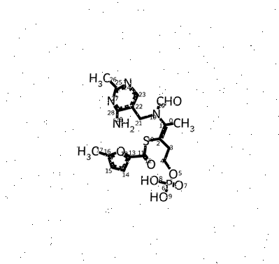 CC(=C(CCOP(=O)(O)O)SC(=O)c1ccc(C)o1)N(C=O)Cc1cnc(C)nc1N